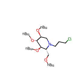 CCCCOC[C@@H]1[C@@H](OCCCC)[C@H](OCCCC)[C@@H](OCCCC)CN1CCCCl